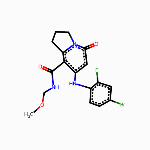 COCNC(=O)c1c(Nc2ccc(Br)cc2F)cc(=O)n2c1CCC2